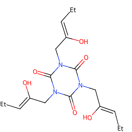 CCC=C(O)Cn1c(=O)n(CC(O)=CCC)c(=O)n(CC(O)=CCC)c1=O